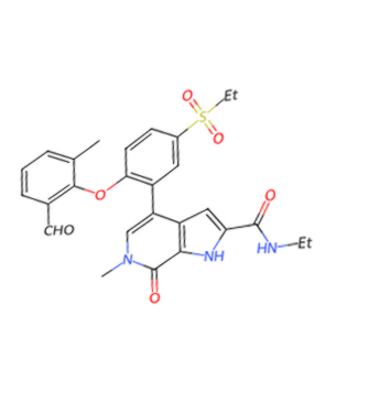 CCNC(=O)c1cc2c(-c3cc(S(=O)(=O)CC)ccc3Oc3c(C)cccc3C=O)cn(C)c(=O)c2[nH]1